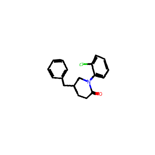 O=C1CCC(Cc2ccccc2)CN1c1ccccc1Cl